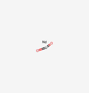 [Nd].[O]=[U]=[O]